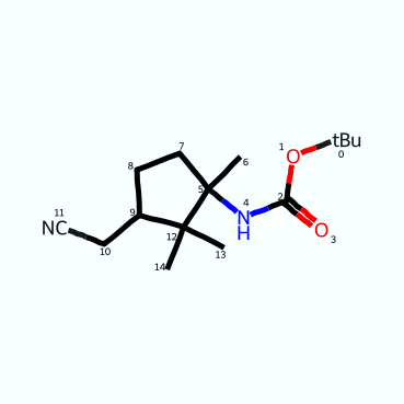 CC(C)(C)OC(=O)NC1(C)CCC(CC#N)C1(C)C